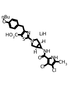 CCCCOc1ccc(Cc2nc(N3C[C@@H]4[C@H](C3)[C@H]4NC(=O)c3[nH]c(C)c(Cl)c3Cl)sc2C(=O)O)cc1.[LiH]